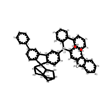 c1ccc(-c2ccc3c(c2)-c2cc(N(c4ccc5c(c4)oc4ccccc45)c4ccccc4-c4ccccc4)ccc2C32C3CC4CC(C3)C2C4)cc1